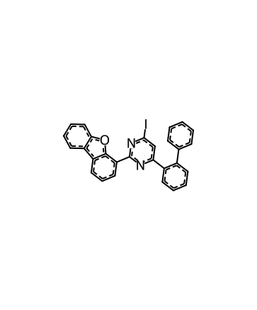 Ic1cc(-c2ccccc2-c2ccccc2)nc(-c2cccc3c2oc2ccccc23)n1